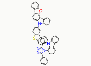 c1ccc(-c2nnc(-c3ccccc3)n2-c2cccc3c4ccccc4n(-c4ccc5sc6ccc(-n7c8ccccc8c8c9oc%10ccccc%10c9ccc87)cc6c5c4)c23)cc1